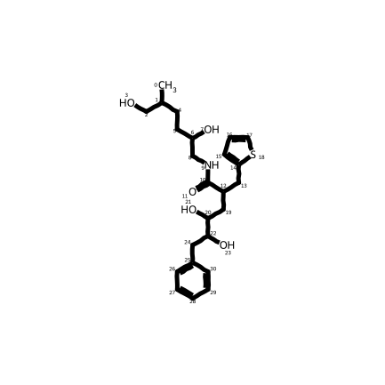 CC(CO)CCC(O)CNC(=O)C(Cc1cccs1)CC(O)C(O)Cc1ccccc1